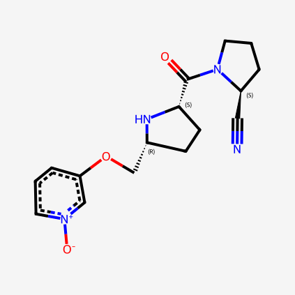 N#C[C@@H]1CCCN1C(=O)[C@@H]1CC[C@H](COc2ccc[n+]([O-])c2)N1